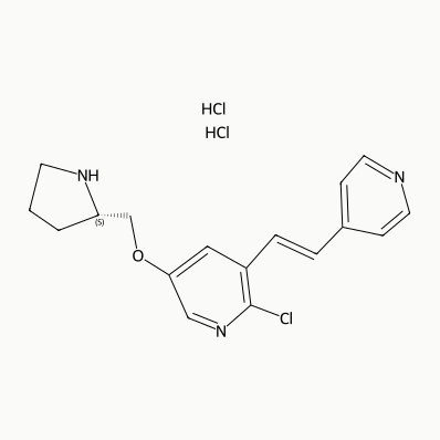 Cl.Cl.Clc1ncc(OC[C@@H]2CCCN2)cc1C=Cc1ccncc1